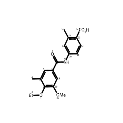 CCOc1c(C)cc(C(=O)Nc2ccc(C(=O)O)c(C)c2)cc1OC